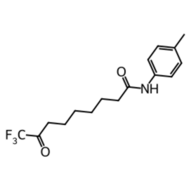 Cc1ccc(NC(=O)CCCCCCC(=O)C(F)(F)F)cc1